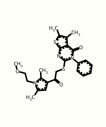 COCCn1c(C)cc(C(=O)CSc2nc3sc(C)c(C)c3c(=O)n2-c2ccccc2)c1C